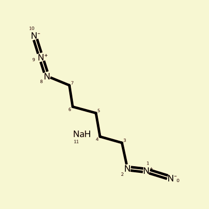 [N-]=[N+]=NCCCCCN=[N+]=[N-].[NaH]